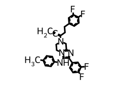 C=C=C(CCc1ccc(F)c(F)c1)N1CCn2c(nc(-c3ccc(F)c(F)c3)c2Nc2ccc(C)cc2)C1